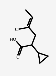 CC=C(Cl)CC(C(=O)O)C1CC1